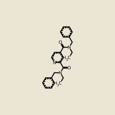 CCN(Cc1ccccc1)C(=O)c1ccnc(C(=O)N(CC)Cc2ccccc2)c1